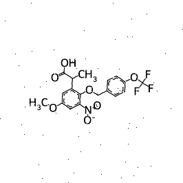 COc1cc(C(C)C(=O)O)c(OCc2ccc(OC(F)(F)F)cc2)c([N+](=O)[O-])c1